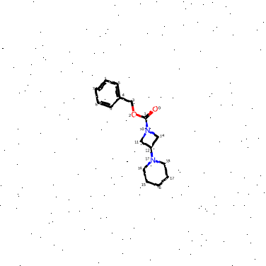 O=C(OCc1ccccc1)N1CC(N2CCCCC2)C1